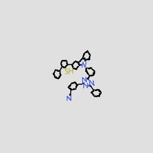 N#Cc1cccc(-c2nc(-c3ccccc3)nc(-c3cccc(-n4c5ccccc5c5cc(-c6cccc(-c7ccccc7)c6S)ccc54)c3)n2)c1